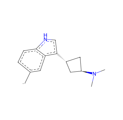 [CH2]c1ccc2[nH]cc([C@H]3C[C@H](N(C)C)C3)c2c1